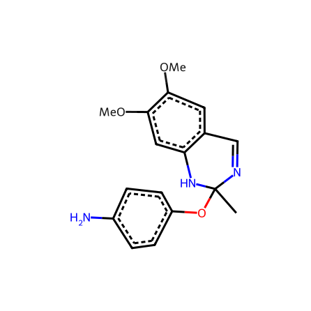 COc1cc2c(cc1OC)NC(C)(Oc1ccc(N)cc1)N=C2